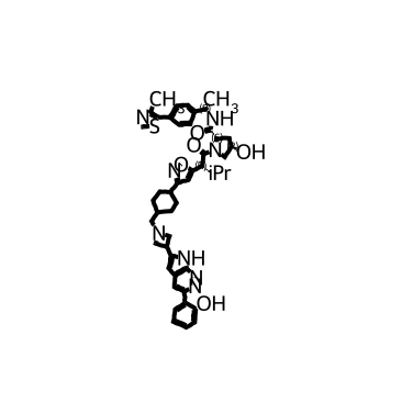 Cc1ncsc1-c1ccc([C@H](C)NC(=O)[C@@H]2C[C@@H](O)CN2C(=O)[C@@H](c2cc(C3CCC(CN4CC(c5cc6cc(-c7ccccc7O)nnc6[nH]5)C4)CC3)no2)C(C)C)cc1